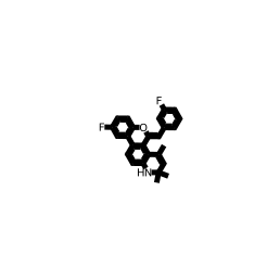 CC1=CC(C)(C)Nc2ccc3c(c21)/C(=C/c1cccc(F)c1)Oc1ccc(F)cc1-3